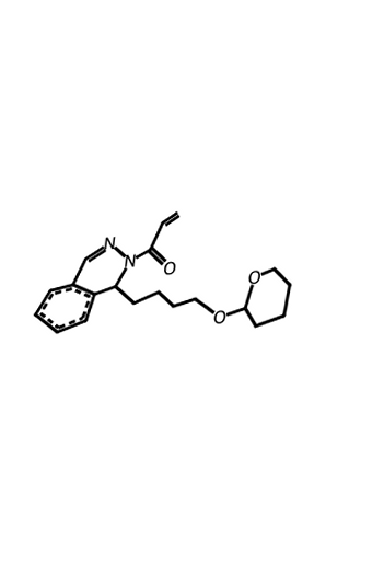 C=CC(=O)N1N=Cc2ccccc2C1CCCCOC1CCCCO1